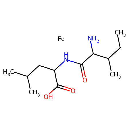 CCC(C)C(N)C(=O)NC(CC(C)C)C(=O)O.[Fe]